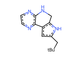 CC(C)(C)Cc1cc2c([nH]1)CNc1nccnc1-2